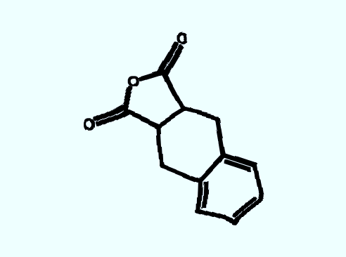 O=C1OC(=O)C2Cc3ccccc3CC12